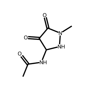 CC(=O)NC1NN(C)C(=O)C1=O